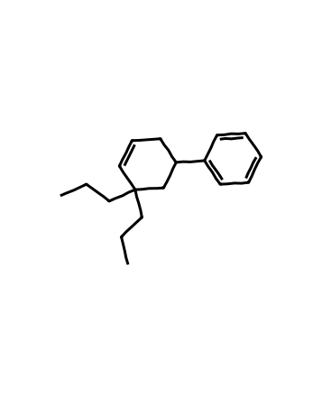 CCCC1(CCC)C=CCC(c2ccccc2)C1